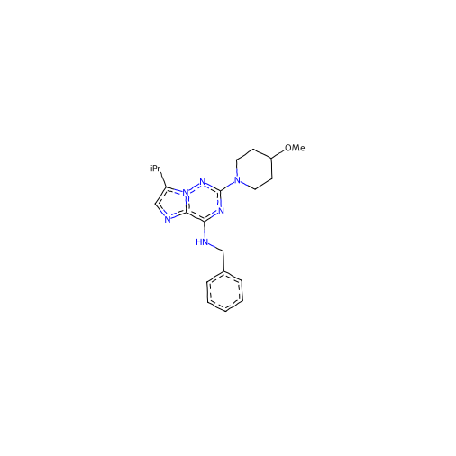 COC1CCN(c2nc(NCc3ccccc3)c3ncc(C(C)C)n3n2)CC1